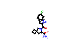 NC(=O)C1CC2(CCC2)CN1C(=O)c1cc2ccc(Cl)cc2[nH]1